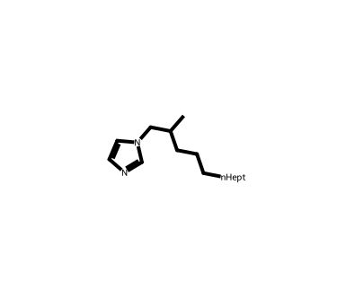 CCCCCCCCCCC(C)Cn1ccnc1